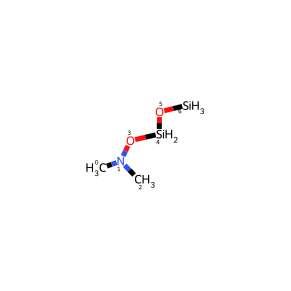 CN(C)O[SiH2]O[SiH3]